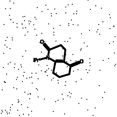 CC(C)N1C(=O)CCC2=C1CCCC2=O